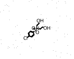 O=S(=O)(c1ccc(Cl)cc1)N(CCO)CCO